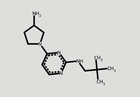 CC(C)(C)CNc1nccc(N2CCC(N)C2)n1